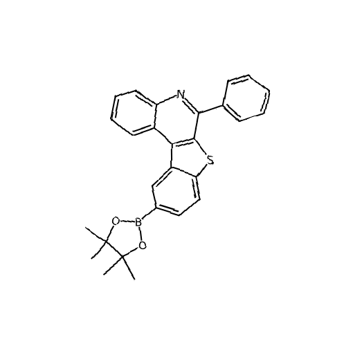 CC1(C)OB(c2ccc3sc4c(-c5ccccc5)nc5ccccc5c4c3c2)OC1(C)C